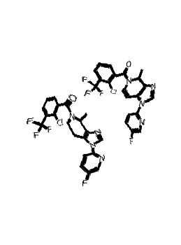 CC1c2ncn(-c3ccc(F)cn3)c2C=CN1C(=O)c1cccc(C(F)(F)F)c1Cl.CC1c2ncn(-c3ccc(F)cn3)c2CCN1C(=O)c1cccc(C(F)(F)F)c1Cl